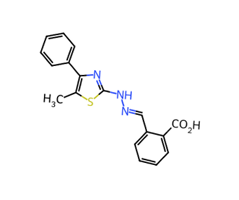 Cc1sc(N/N=C/c2ccccc2C(=O)O)nc1-c1ccccc1